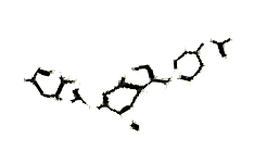 CC(=O)NC1CCN(Cc2coc3cc(Oc4nc5ncc(Cl)cc5s4)ccc23)CC1.O=CO